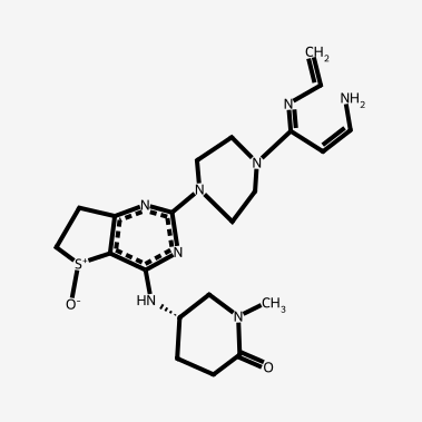 C=C/N=C(\C=C/N)N1CCN(c2nc3c(c(N[C@H]4CCC(=O)N(C)C4)n2)[S+]([O-])CC3)CC1